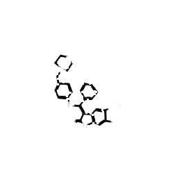 COc1cc2c(cc1OC)/C(=C(/Nc1ccc(CN3CCSCC3)cc1)c1ccccc1)C(=O)N2